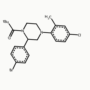 Cc1cc(Cl)ccc1N1CCN(C(=O)C(C)(C)C)C(c2ccc(Br)cc2)C1